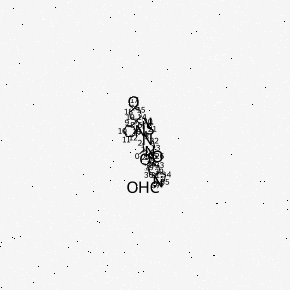 CC1CN(c2nc(C3(c4ccccc4)CCC(=O)CC3)ns2)CCN1S(=O)(=O)c1ccc2c(c1)CCN2C=O